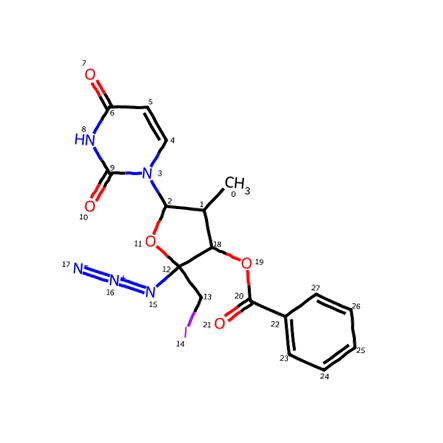 CC1C(n2ccc(=O)[nH]c2=O)OC(CI)(N=[N+]=[N-])C1OC(=O)c1ccccc1